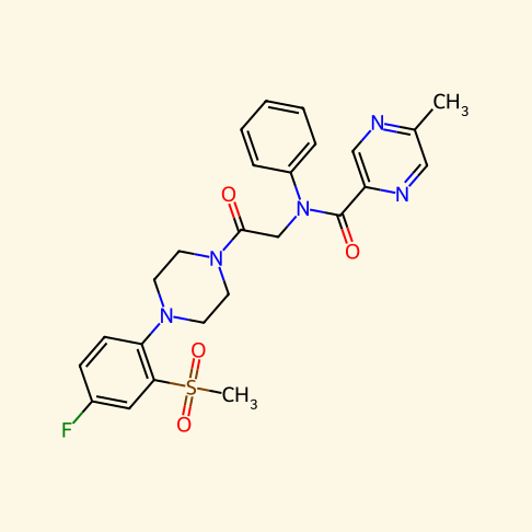 Cc1cnc(C(=O)N(CC(=O)N2CCN(c3ccc(F)cc3S(C)(=O)=O)CC2)c2ccccc2)cn1